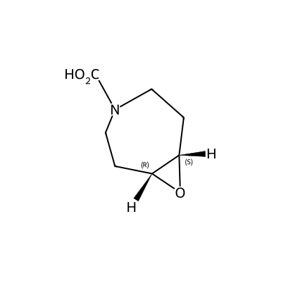 O=C(O)N1CC[C@@H]2O[C@@H]2CC1